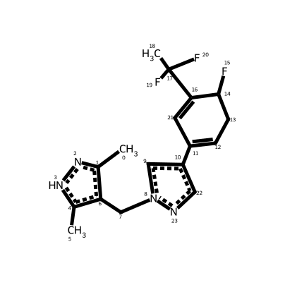 Cc1n[nH]c(C)c1Cn1cc(C2=CCC(F)C(C(C)(F)F)=C2)cn1